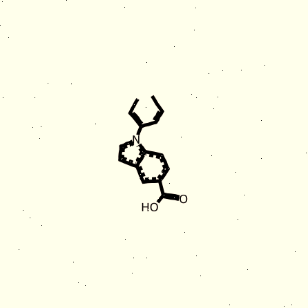 C/C=C\C(=C/C)n1ccc2cc(C(=O)O)ccc21